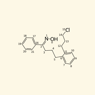 ON=C(CCCc1ccccc1CCCCl)c1ccccc1